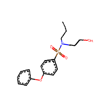 CCCN(CCO)S(=O)(=O)c1ccc(Oc2ccccc2)cc1